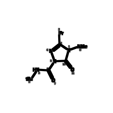 CNn1c(C(C)C)nn(C(=O)NC(C)(C)C)c1=O